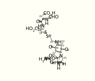 CO[C@@]12C(OC(N)=O)C3=C(C(=O)C(C)=C(NCCSSC[C@H](NC(=O)[C@H](CC(=O)O)NC=O)C(=O)O)C3=O)N1C[C@@H]1N[C@@H]12